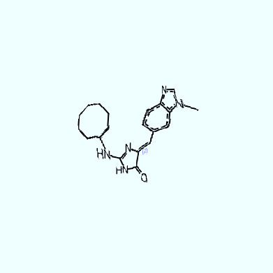 Cn1cnc2ccc(/C=C3\N=C(NC4CCCCCCC4)NC3=O)cc21